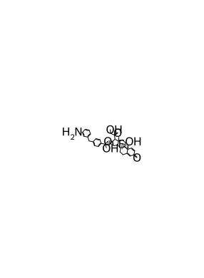 CC12CC(O)[C@@]3(F)C(CCC4=CC(=O)C=CC43C)C1C[C@@H](OC(O)c1ccc(Cc3cccc(N)c3)cc1)C2C(=O)CO